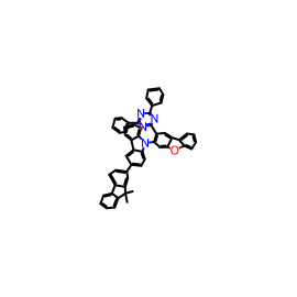 CC1(C)c2ccccc2-c2ccc(-c3ccc4c(c3)c3ccccc3n4-c3cc4oc5ccccc5c4cc3-c3nc(-c4ccccc4)nc(-c4ccccc4)n3)cc21